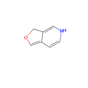 C1=CC2=COCC2=CN1